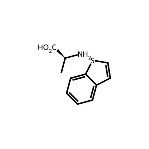 C[C@H](N)C(=O)O.c1ccc2sccc2c1